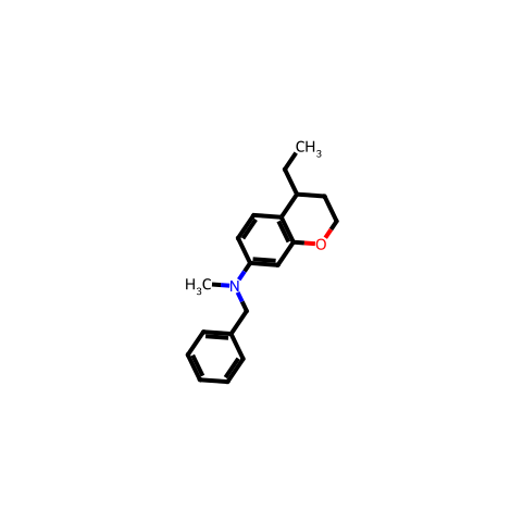 CCC1CCOc2cc(N(C)Cc3ccccc3)ccc21